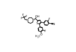 COc1ccc(-c2sc(C(O)N3CCCN(CC(F)(F)F)CC3)cc2-c2ccc(C#N)c(F)c2)cc1F